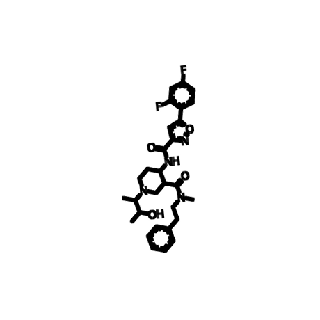 CC(O)C(C)N1CCC(NC(=O)c2cc(-c3ccc(F)cc3F)on2)C(C(=O)N(C)CCc2ccccc2)C1